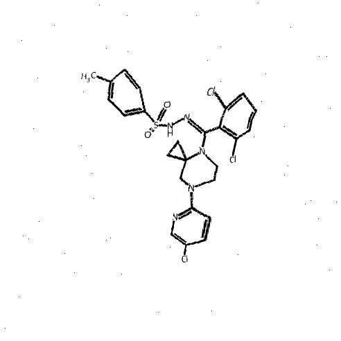 Cc1ccc(S(=O)(=O)N/N=C(/c2c(Cl)cccc2Cl)N2CCN(c3ccc(Cl)cn3)CC23CC3)cc1